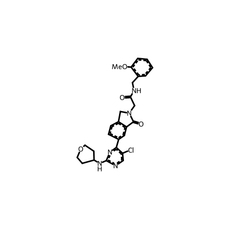 COc1ccccc1CNC(=O)CN1Cc2ccc(-c3nc(NC4CCOCC4)ncc3Cl)cc2C1=O